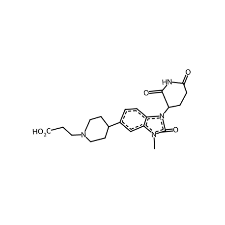 Cn1c(=O)n(C2CCC(=O)NC2=O)c2ccc(C3CCN(CCC(=O)O)CC3)cc21